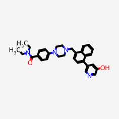 CCN(CC)C(=O)c1ccc(N2CCN(Cc3ccc(-c4cncc(O)c4)c4ccccc34)CC2)cc1